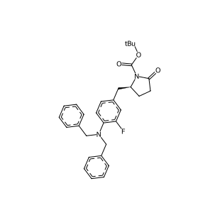 CC(C)(C)OC(=O)N1C(=O)CC[C@H]1Cc1ccc(N(Cc2ccccc2)Cc2ccccc2)c(F)c1